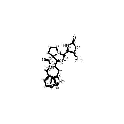 CC1OC(=O)NC1C(=O)N1CCC[C@]1(C(=O)OCc1ccccc1)C(=O)[C@@H](N)Cc1cscn1